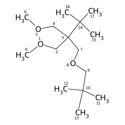 COCC(COC)(COCC(C)(C)C)C(C)(C)C